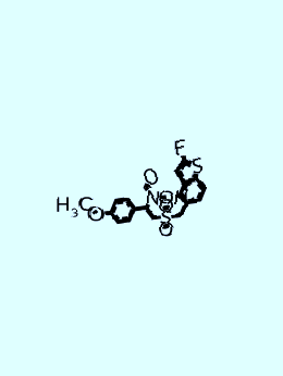 COc1ccc(C(CS(=O)(=O)Cc2ccc3sc(F)cc3c2)N(O)C=O)cc1